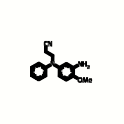 COc1ccc(N(CCC#N)c2ccccc2)cc1N